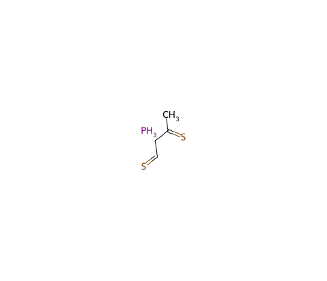 CC(=S)CC=S.P